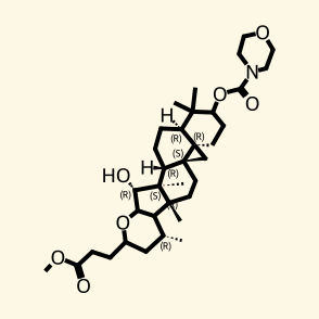 COC(=O)CCC1C[C@@H](C)C2C(O1)[C@H](O)[C@@]1(C)[C@@H]3CC[C@H]4C(C)(C)C(OC(=O)N5CCOCC5)CC[C@@]45C[C@@]35CC[C@]21C